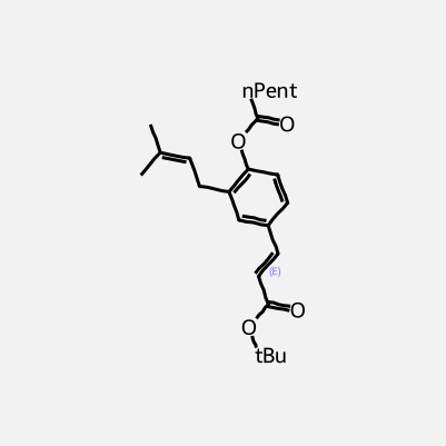 CCCCCC(=O)Oc1ccc(/C=C/C(=O)OC(C)(C)C)cc1CC=C(C)C